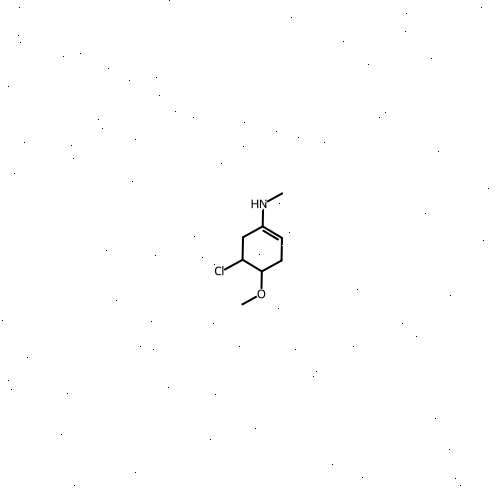 CNC1=CCC(OC)C(Cl)C1